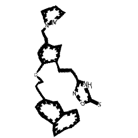 S=c1[nH]c(CCc2ccc(Cn3cccn3)cc2OCCc2ccc3ccccc3c2)no1